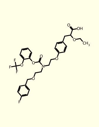 CCOC(Cc1ccc(OCCN(CCOCc2ccc(F)cc2)C(=O)Oc2ccccc2OC(F)(F)F)cc1)C(=O)O